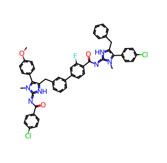 COc1ccc(-c2c(Cc3cccc(-c4ccc(C(=O)/N=c5\[nH]c(Cc6ccccc6)c(-c6ccc(Cl)cc6)n5C)c(F)c4)c3)[nH]/c(=N\C(=O)c3ccc(Cl)cc3)n2C)cc1